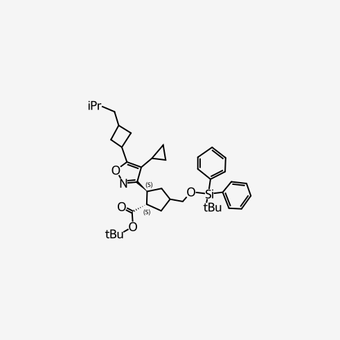 CC(C)CC1CC(c2onc([C@H]3CC(CO[Si](c4ccccc4)(c4ccccc4)C(C)(C)C)C[C@@H]3C(=O)OC(C)(C)C)c2C2CC2)C1